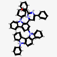 c1ccc(-c2cc(-c3cc(-n4c5ccccc5c5ccc6c(c7ccccc7n6-c6ccccc6)c54)cc4c5ccccc5n(-c5ccccc5)c34)nc(-c3ccccc3)n2)cc1